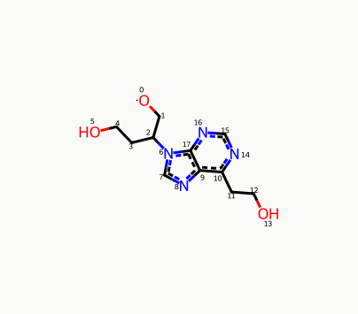 [O]CC(CCO)n1cnc2c(CCO)ncnc21